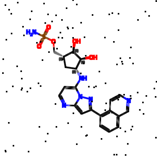 NS(=O)(=O)OC[C@H]1C[C@@H](Nc2ccnc3cc(-c4cccc5cnccc45)nn23)[C@H](O)[C@@H]1O